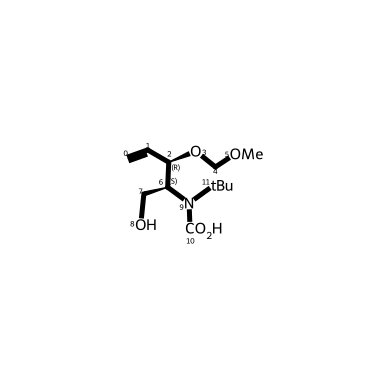 C=C[C@@H](OCOC)[C@H](CO)N(C(=O)O)C(C)(C)C